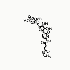 COC(=O)CCC(=O)Nc1ccn([C@@H]2O[C@H](COP(=O)(O)OP(=O)(O)O)[C@H](O)C2O)c(=O)n1